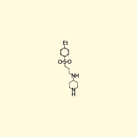 CCc1ccc(S(=O)(=O)CCCNC2CCNCC2)cc1